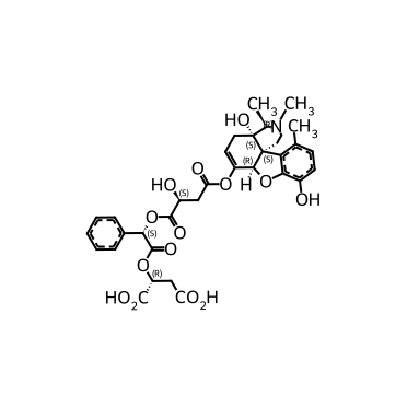 Cc1ccc(O)c2c1[C@]13CCN(C)[C@H](C)[C@]1(O)CC=C(OC(=O)C[C@H](O)C(=O)O[C@H](C(=O)O[C@H](CC(=O)O)C(=O)O)c1ccccc1)[C@@H]3O2